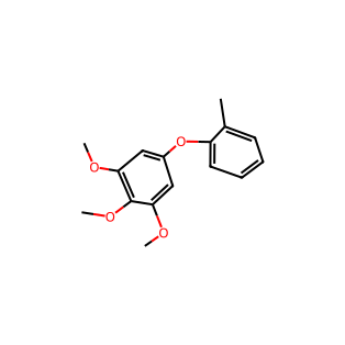 COc1cc(Oc2ccccc2C)cc(OC)c1OC